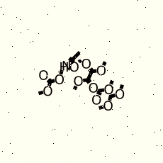 CC#N.CO.COC(=O)C(=O)OC.COC(=O)OC.COC=O.COCOC